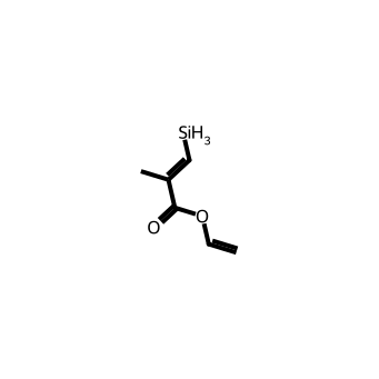 C=COC(=O)C(C)=C[SiH3]